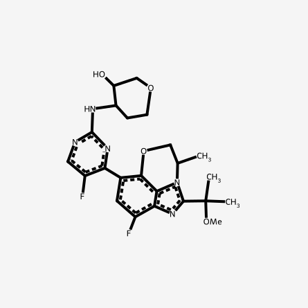 COC(C)(C)c1nc2c(F)cc(-c3nc(NC4CCOCC4O)ncc3F)c3c2n1C(C)CO3